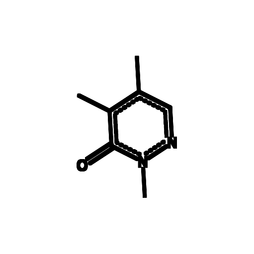 Cc1cnn(C)c(=O)c1C